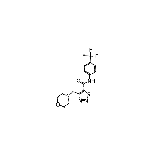 O=C(Nc1ccc(C(F)(F)F)cc1)c1snnc1CN1CCOCC1